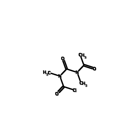 CC(=O)N(C)C(=O)N(C)C(=O)Cl